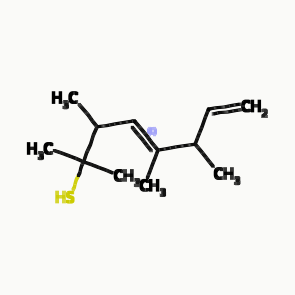 C=CC(C)/C(C)=C/C(C)C(C)(C)S